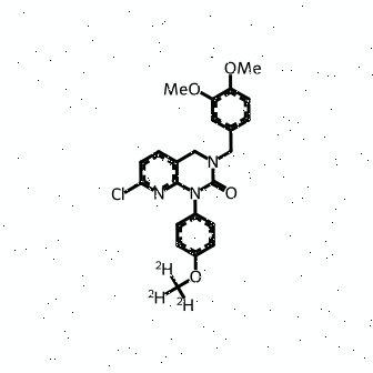 [2H]C([2H])([2H])Oc1ccc(N2C(=O)N(Cc3ccc(OC)c(OC)c3)Cc3ccc(Cl)nc32)cc1